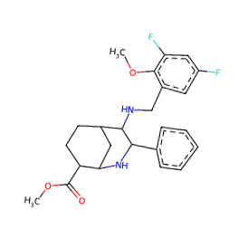 COC(=O)C1CCC2CC1NC(c1ccccc1)C2NCc1cc(F)cc(F)c1OC